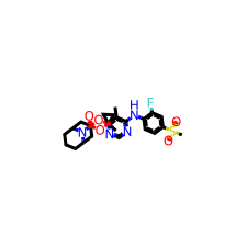 Cc1c(Nc2ccc(S(C)(=O)=O)cc2F)ncnc1OC1CC2CCCC(C1)N2C(=O)OC1(C)CC1